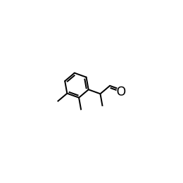 Cc1cccc(C(C)C=O)c1C